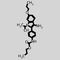 CCCOC(=O)Nc1ccc(-c2c(N)c3ccc(OCCC)cc3n2C(C)C)cc1